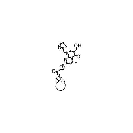 Cc1cc(N2CC(C(=O)N3CC4(CCCCCCO4)C3)C2)nc2c1c(=O)c(CO)cn2Cc1nccs1